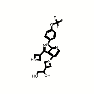 OCC(O)C1CN(c2ccnc3c2c(C2CNC2)nn3-c2ccc(OC(F)(F)F)cc2)C1